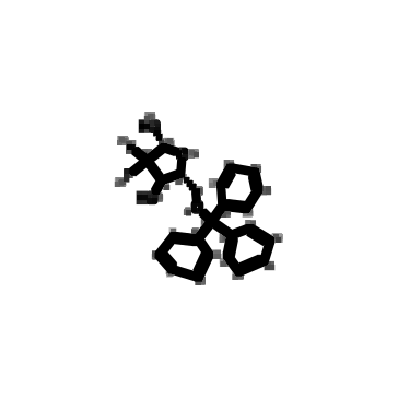 OC1[C@@H](COC(c2ccccc2)(c2ccccc2)c2ccccc2)O[C@@H](O)C1(F)F